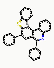 c1ccc(-c2nc3ccccc3c3c2cc(-c2ccccc2)c2sc4ccccc4c23)cc1